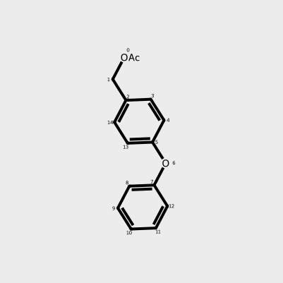 CC(=O)OCc1ccc(Oc2ccccc2)cc1